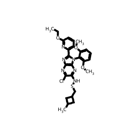 CCOc1cccc(-c2nc3nc(Cl)c(NSCC4CC(C)C4)nc3n2-c2c(OC)cccc2OC)n1